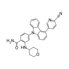 N#Cc1ccc(-c2cccc3c2c2ccccc2n3-c2ccc(C(N)=O)c(NC3CCOCC3)c2)cn1